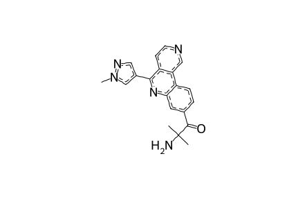 Cn1cc(-c2nc3cc(C(=O)C(C)(C)N)ccc3c3cnccc23)cn1